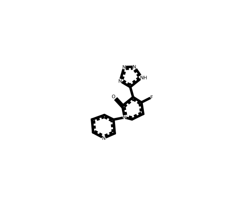 O=c1c(-c2nnn[nH]2)c(F)ccn1-c1cccnc1